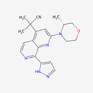 C[C@@H]1COCCN1c1cc(C(C)(C)C#N)c2ccnc(-c3ccn[nH]3)c2n1